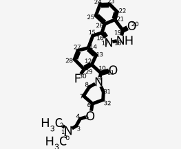 CN(C)CCOC1CCN(C(=O)c2cc(Cc3n[nH]c(=O)c4ccccc34)ccc2F)CC1